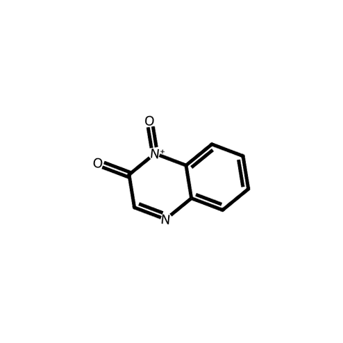 O=C1C=Nc2ccccc2[N+]1=O